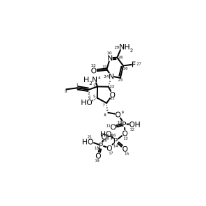 CC#CC1(N)[C@@H](O)[C@@H](COP(=O)(O)OP(=O)(O)OP(=O)(O)O)O[C@H]1n1cc(F)c(N)nc1=O